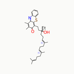 CC[C@@](O)(CC/C=C(\C)CC/C=C(\C)CCC=C(C)C)CCc1c2sc3ccccc3nc-2c(C)c(C)c1=O